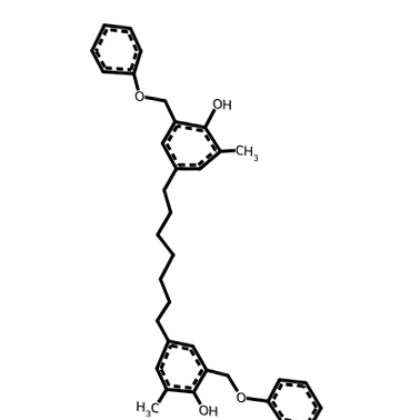 Cc1cc(CCCCCCCc2cc(C)c(O)c(COc3ccccc3)c2)cc(COc2ccccc2)c1O